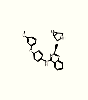 C#Cc1nc(Nc2ccc(Oc3cccc(OC)c3)cc2)c2ccccc2n1.C1NCC2OC12